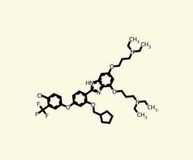 CCN(CC)CCCOc1cc(OCCCN(CC)CC)c2nc(-c3ccc(Oc4ccc(Cl)c(C(F)(F)F)c4)cc3OCC3CCCC3)[nH]c2c1